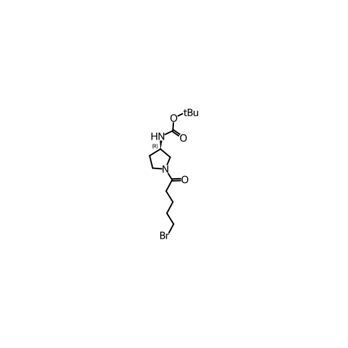 CC(C)(C)OC(=O)N[C@@H]1CCN(C(=O)CCCCBr)C1